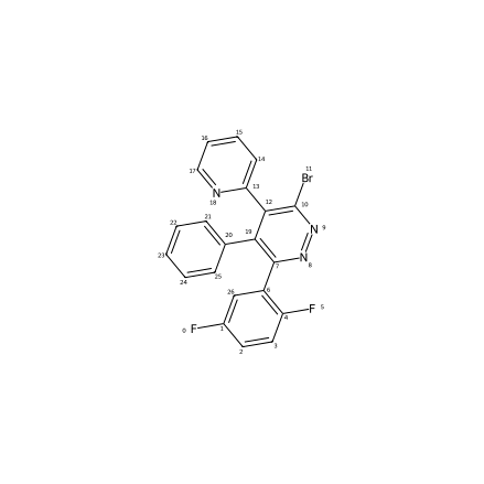 Fc1ccc(F)c(-c2nnc(Br)c(-c3ccccn3)c2-c2ccccc2)c1